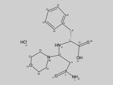 Cl.NC(=O)CC(N[C@H](Cc1ccccc1)C(=O)O)N1CCOCC1